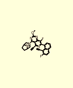 C#Cc1c(F)ccc2cccc(-c3nc(C#C)c4c(N5CC6CCC(C5)N6)nc(OC)nc4c3F)c12